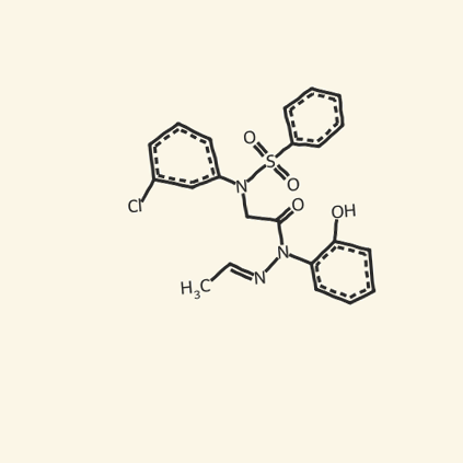 CC=NN(C(=O)CN(c1cccc(Cl)c1)S(=O)(=O)c1ccccc1)c1ccccc1O